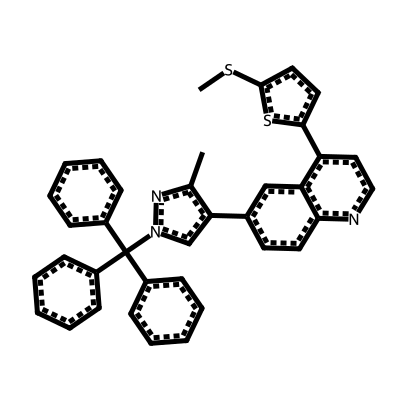 CSc1ccc(-c2ccnc3ccc(-c4cn(C(c5ccccc5)(c5ccccc5)c5ccccc5)nc4C)cc23)s1